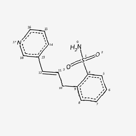 NS(=O)(=O)c1ccccc1C/C=C/c1cccnc1